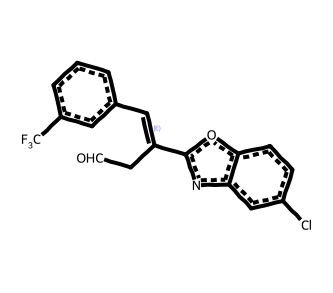 O=CC/C(=C\c1cccc(C(F)(F)F)c1)c1nc2cc(Cl)ccc2o1